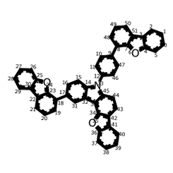 c1ccc2c(c1)oc1c(-c3ccc(-n4c5ccc(-c6cccc7c6oc6ccccc67)cc5c5c6oc7ccccc7c6ccc54)cc3)cccc12